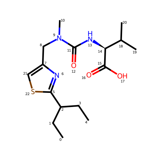 CCC(CC)c1nc(CN(C)C(=O)N[C@H](C(=O)O)C(C)C)cs1